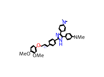 CNc1ccc(-c2[nH]c(-c3ccc(/C=C/COc4ccc(OC)c(OC)c4)cc3)nc2-c2ccc(N(C)C)cc2)cc1